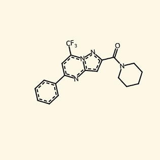 O=C(c1cc2nc(-c3ccccc3)cc(C(F)(F)F)n2n1)N1CCCCC1